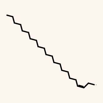 [CH2]C/C=C\CCCCCCCCCCCCCCCCCC